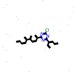 C=C/C=C\C(=C)C(=C)/C=C\C(=C)c1nc(Cl)nc(/C(C=C)=C/C=C)n1